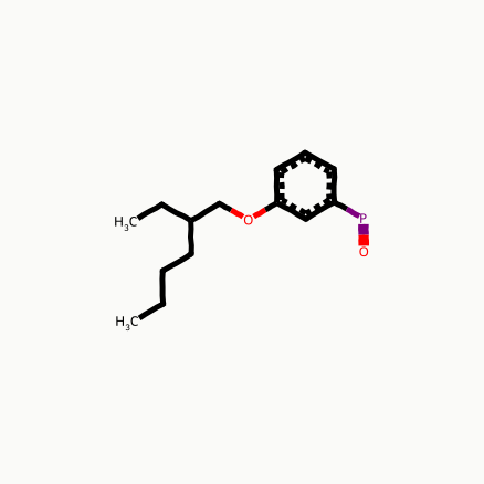 CCCCC(CC)COc1cccc(P=O)c1